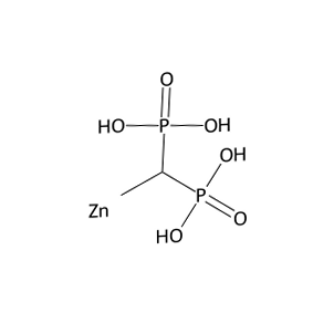 CC(P(=O)(O)O)P(=O)(O)O.[Zn]